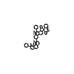 c1ccc(-c2ccc3ccc4ccc(-c5ccc6nc(-c7ccccc7)c7c8c(ccc7c6c5)C5(c6ccccc6Sc6ccccc65)c5ccccc5-8)nc4c3n2)cc1